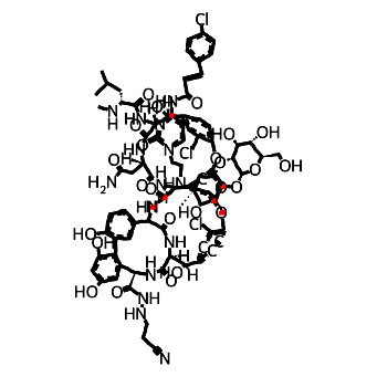 CN[C@H](CC(C)C)C(=O)N[C@H]1C(=O)N[C@@H](CC(N)=O)C(=O)N[C@H]2C(=O)N[C@H]3C(=O)N[C@H](C(=O)N[C@@H](C(=O)NNCCC#N)c4cc(O)cc(O)c4-c4cc3ccc4O)[C@H](O)c3ccc(c(Cl)c3)Oc3cc2cc(c3O[C@@H]2O[C@H](CO)[C@@H](O)[C@H](O)[C@H]2O[C@H]2C[C@](C)(NCCn3ccc(NC(=O)/C=C/c4ccc(Cl)cc4)nc3=O)[C@H](O)[C@H](C)O2)Oc2ccc(cc2Cl)[C@H]1O